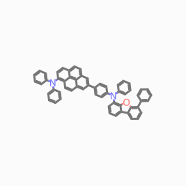 c1ccc(-c2cccc3c2oc2c(N(c4ccccc4)c4ccc(-c5cc6ccc7ccc(N(c8ccccc8)c8ccccc8)c8ccc(c5)c6c78)cc4)cccc23)cc1